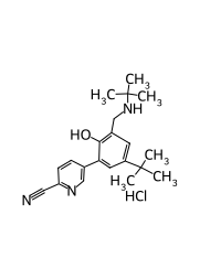 CC(C)(C)NCc1cc(C(C)(C)C)cc(-c2ccc(C#N)nc2)c1O.Cl